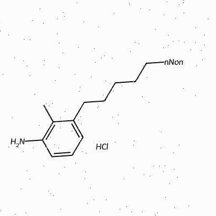 CCCCCCCCCCCCCCc1cccc(N)c1C.Cl